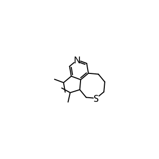 CC(C)c1cncc2c1C(C(C)C)CSCCC2